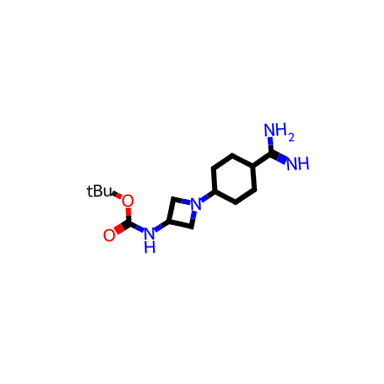 CC(C)(C)OC(=O)NC1CN(C2CCC(C(=N)N)CC2)C1